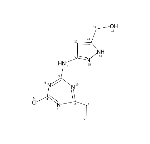 CCc1nc(Cl)nc(Nc2cc(CO)[nH]n2)n1